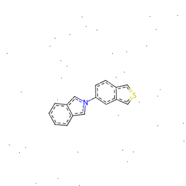 c1ccc2cn(-c3ccc4cscc4c3)cc2c1